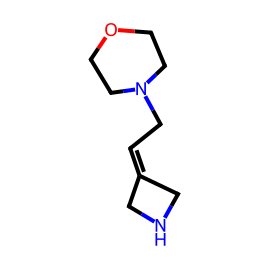 C(CN1CCOCC1)=C1CNC1